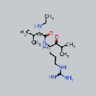 CCN[C@H](C(=O)N[C@@H](CCCNC(=N)N)C(=O)C(C)C)C(C)C